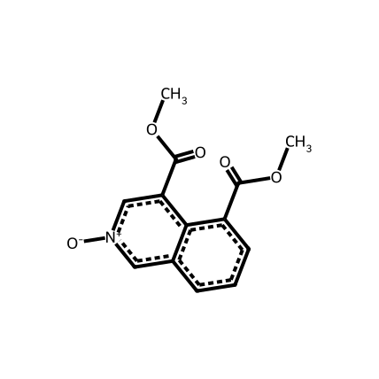 COC(=O)c1cccc2c[n+]([O-])cc(C(=O)OC)c12